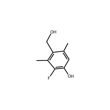 Cc1cc(O)c(F)c(C)c1CO